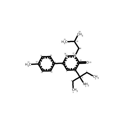 CCC(N)(CC)c1cc(-c2ccc(C)cc2)nn(CC(C)C)c1=O